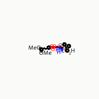 COc1cc(/C=C/c2ccc(OC(=O)OCCNC(=O)C(CSC(c3ccccc3)(c3ccccc3)c3ccccc3)NC(=O)O)cc2)cc(OC)c1